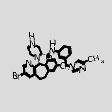 Cc1cn(Cc2cccc(NC(=O)[C@H]3CNCCN3[C@@H]3c4ccc(Cl)cc4CCc4cc(Br)cnc43)c2)cn1